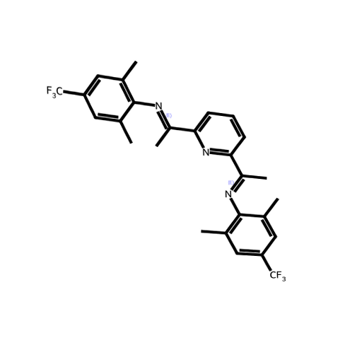 C/C(=N\c1c(C)cc(C(F)(F)F)cc1C)c1cccc(/C(C)=N/c2c(C)cc(C(F)(F)F)cc2C)n1